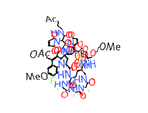 CC[C@@]1(OS(=O)(=O)NCCNC(=O)[C@H](C)NC(=O)[C@H](C)NC(=O)[C@H](C)NC(=O)[C@H](CCCCNC(=O)COCCOC)NC(=O)CCCNC(=O)C(C(C(=O)NCCCC(C)=O)N2C(=O)C=CC2=O)N2C(=O)C=CC2=O)C(=O)OCc2c1cc1n(c2=O)Cc2c-1nc1cc(F)c(OC)cc1c2COC(C)=O